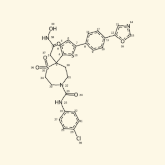 O=C(CC1(c2ccc(-c3ccc(-c4cnco4)cc3)s2)CCN(C(=O)Nc2ccc(Cl)cc2)CCS1(=O)=O)NO